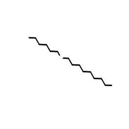 [CH2]CCCCCSCCCCCCCCC